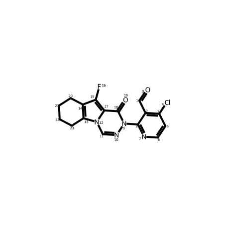 O=Cc1c(Cl)ccnc1-n1ncn2c3c(c(F)c2c1=O)CCCC3